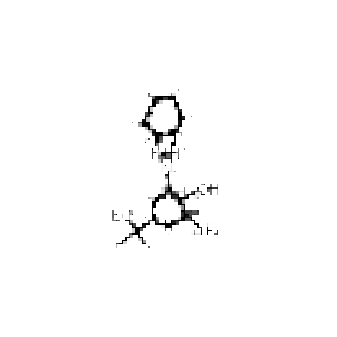 CCC(C)(C)c1cc(-n2n3c4ccccc4n23)c(O)c(C(C)(C)C)c1